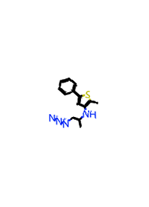 Cc1sc(-c2ccccc2)cc1NC(C)CN=[N+]=[N-]